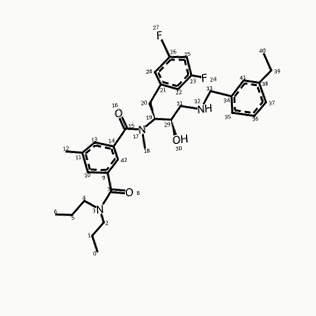 CCCN(CCC)C(=O)c1cc(C)cc(C(=O)N(C)[C@@H](Cc2cc(F)cc(F)c2)[C@H](O)CNCc2cccc(CC)c2)c1